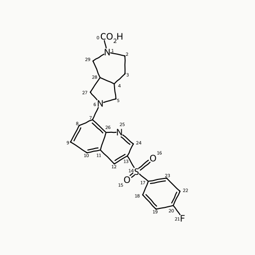 O=C(O)N1CCC2CN(c3cccc4cc(S(=O)(=O)c5ccc(F)cc5)cnc34)CC2C1